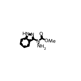 COC(=O)N(N)c1n[nH]c2ccccc12